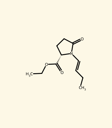 CCC=CN1C(=O)CC[C@H]1C(=O)OCC